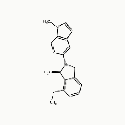 C=C1c2c(CC)cccc2CN1c1ccc2c(ccn2C)c1